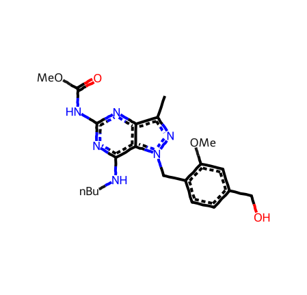 CCCCNc1nc(NC(=O)OC)nc2c(C)nn(Cc3ccc(CO)cc3OC)c12